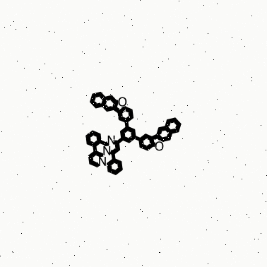 c1ccc(-c2cc(-c3cc(-c4ccc5oc6cc7ccccc7cc6c5c4)cc(-c4ccc5oc6cc7ccccc7cc6c5c4)c3)nc(-c3ccccc3-c3cccnc3)n2)cc1